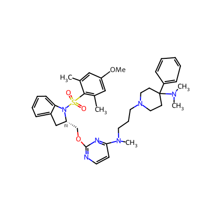 COc1cc(C)c(S(=O)(=O)N2c3ccccc3C[C@H]2COc2nccc(N(C)CCCN3CCC(c4ccccc4)(N(C)C)CC3)n2)c(C)c1